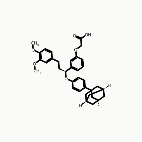 COc1ccc(CC[C@H](Oc2ccc(C34C[C@H]5C[C@H](C3)C[C@@H](C4)C5)cc2)c2cccc(OCC(=O)O)c2)cc1OC